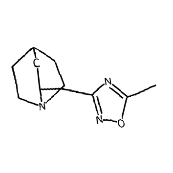 Cc1nc(C2CC3CCN2CC3)no1